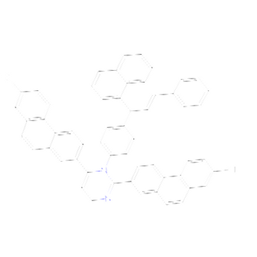 FC(F)(F)c1ccc2c(ccc3cc(C4=CCN=C(c5ccc6c(ccc7cc(C(F)(F)F)ccc76)c5)N4c4ccc(C(/C=C/c5ccccc5)c5cccc6ccccc56)cc4)ccc32)c1